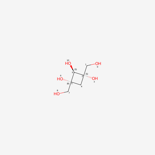 OC[C@@]1(O)C[C@@](O)(CO)[C@H]1O